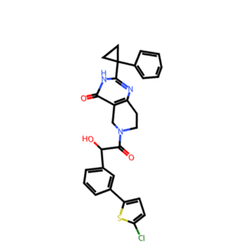 O=C(C(O)c1cccc(-c2ccc(Cl)s2)c1)N1CCc2nc(C3(c4ccccc4)CC3)[nH]c(=O)c2C1